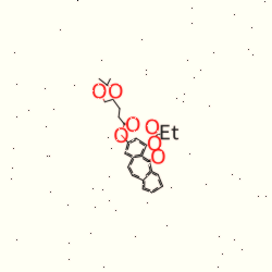 CCC(=O)Oc1cc(OC(=O)CCC2COC(C)(C)O2)cc2ccc3ccccc3c(=O)c12